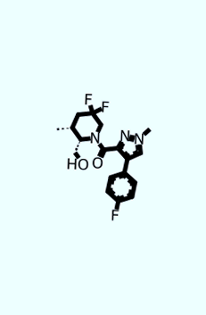 C[C@@H]1CC(F)(F)CN(C(=O)c2nn(C)cc2-c2ccc(F)cc2)[C@@H]1CO